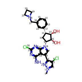 Cn1cc(Cl)c(-c2cn([C@@H]3C[C@H](c4cccc(CN5CCC5)c4)[C@@H](O)[C@H]3O)c3nc(Cl)nc(N)c23)n1